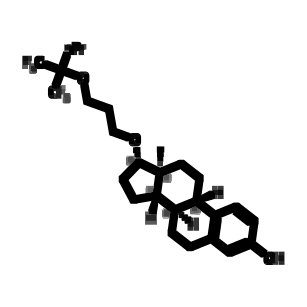 CCCC(OCCCO[C@H]1CC[C@H]2[C@@H]3CCc4cc(O)ccc4[C@H]3CC[C@]12C)(C(F)(F)F)C(F)(F)F